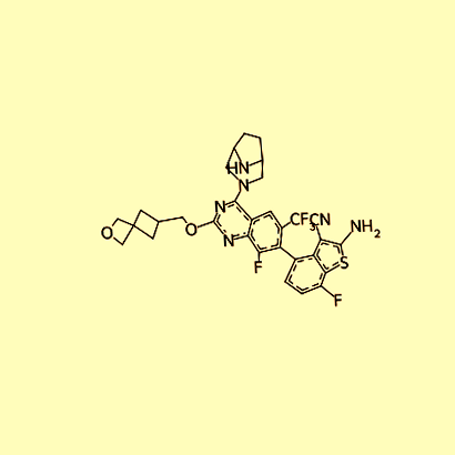 N#Cc1c(N)sc2c(F)ccc(-c3c(C(F)(F)F)cc4c(N5CC6CCC(C5)N6)nc(OCC5CC6(COC6)C5)nc4c3F)c12